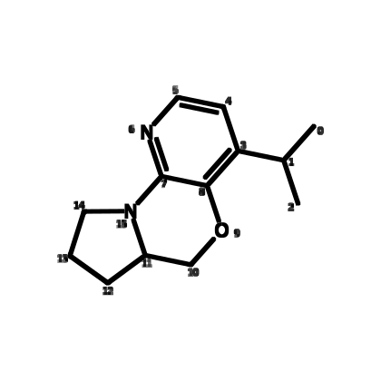 CC(C)c1ccnc2c1OCC1CCCN21